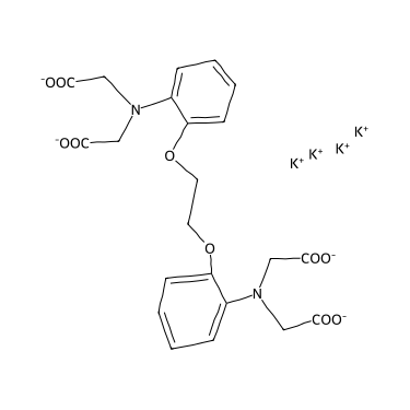 O=C([O-])CN(CC(=O)[O-])c1ccccc1OCCOc1ccccc1N(CC(=O)[O-])CC(=O)[O-].[K+].[K+].[K+].[K+]